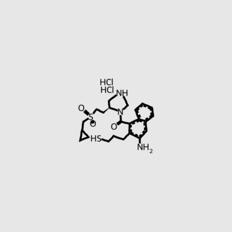 Cl.Cl.Nc1cc2ccccc2c(C(=O)N2CCNC[C@@H]2CCS(=O)(=O)CC2CC2)c1CCCS